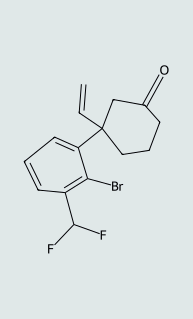 C=CC1(c2cccc(C(F)F)c2Br)CCCC(=O)C1